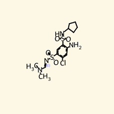 CN(C)/C=N/S(=O)(=O)c1cc(S(=O)(=O)NC2CCCC2)c(N)cc1Cl